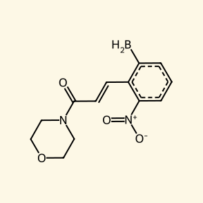 Bc1cccc([N+](=O)[O-])c1/C=C/C(=O)N1CCOCC1